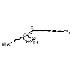 CC#CC#CC#CC#CC#CC(=O)OC[C@H](COP(=O)(O)O)OC(=O)CCCCCCCCCCCCCCC